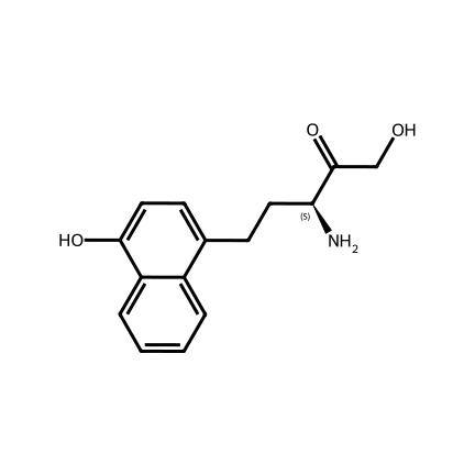 N[C@@H](CCc1ccc(O)c2ccccc12)C(=O)CO